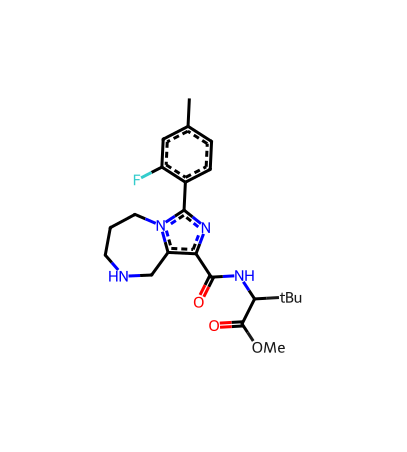 COC(=O)C(NC(=O)c1nc(-c2ccc(C)cc2F)n2c1CNCCC2)C(C)(C)C